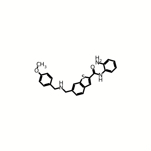 COc1ccc(CNCc2ccc3cc(C(=O)Nc4ccccc4N)sc3c2)cc1